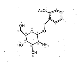 CC(=O)Oc1ccccc1COC1O[C@H](CO)[C@@H](O)[C@H](O)[C@@H]1N